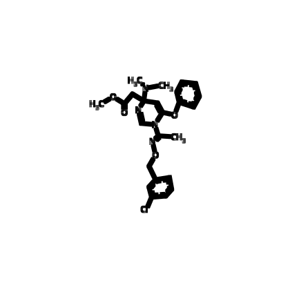 COC(=O)CC1(N(C)C)C=C(Oc2ccccc2)N(C(C)=NOCc2cccc(Cl)c2)C=N1